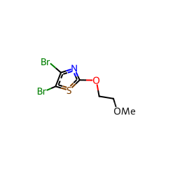 COCCOc1nc(Br)c(Br)s1